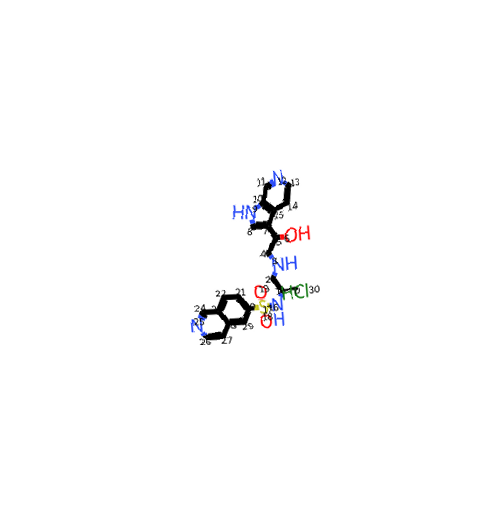 C[C@H](CNCC(O)c1c[nH]c2cnccc12)NS(=O)(=O)c1ccc2cnccc2c1.Cl